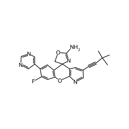 CC(C)(C)C#Cc1cnc2c(c1)C1(COC(N)=N1)c1cc(-c3cncnc3)c(F)cc1O2